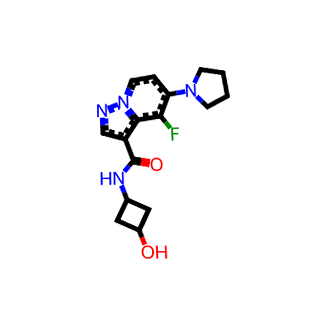 O=C(NC1CC(O)C1)c1cnn2ccc(N3CCCC3)c(F)c12